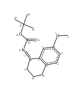 COc1ccc2c(c1)/C(=N\C(=O)OC(C)(C)C)CCC2